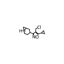 ClCc1c(C2CC[C@H]3CC3C2)noc1C1CC1